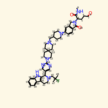 CNC(=O)C(CCC=O)N1Cc2cc(N3CCC(CN4CCC5(CC4)CCN(c4ncc(C6c7[nH]c8ccccc8c7CCN6CC(C)(C)F)cn4)CC5)CC3)ccc2C1=O